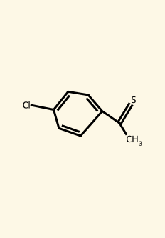 CC(=S)c1ccc(Cl)cc1